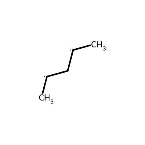 C[CH]C[CH]C